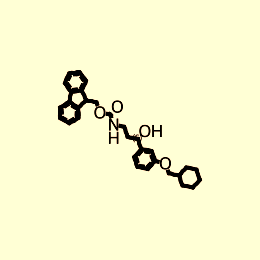 O=C(NCC[C@H](O)c1cccc(OCC2CCCCC2)c1)OCC1c2ccccc2-c2ccccc21